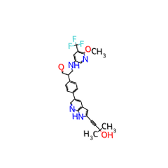 COc1ncc(NCC(C=O)c2ccc(-c3cnc4[nH]c(C#CC(C)(C)O)cc4c3)cc2)cc1C(F)(F)F